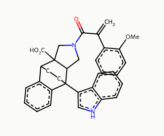 C=C(C(=O)N1CC2C3(c4c[nH]c5ccccc45)CCC(c4ccccc43)C2(C(=O)O)C1)c1ccccc1OC